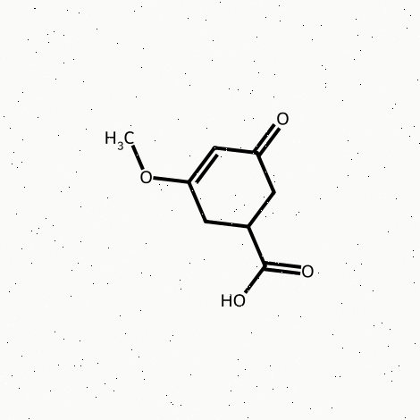 COC1=CC(=O)CC(C(=O)O)C1